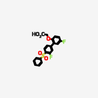 O=C(O)COc1ccc(F)cc1-c1ccc(S(=O)(=O)c2ccccc2)c(F)c1